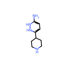 NC1=CC=C(C2CCNCC2)NN1